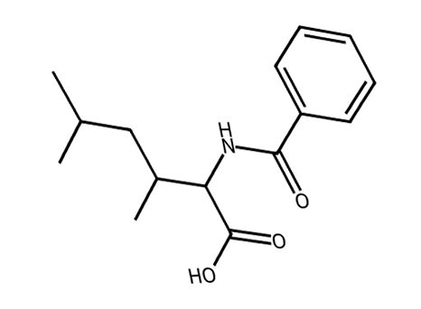 CC(C)CC(C)C(NC(=O)c1ccccc1)C(=O)O